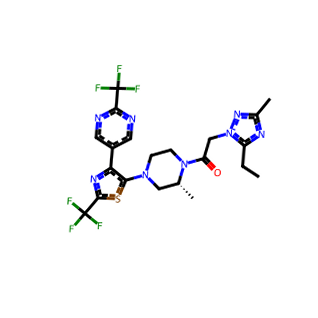 CCc1nc(C)nn1CC(=O)N1CCN(c2sc(C(F)(F)F)nc2-c2cnc(C(F)(F)F)nc2)C[C@H]1C